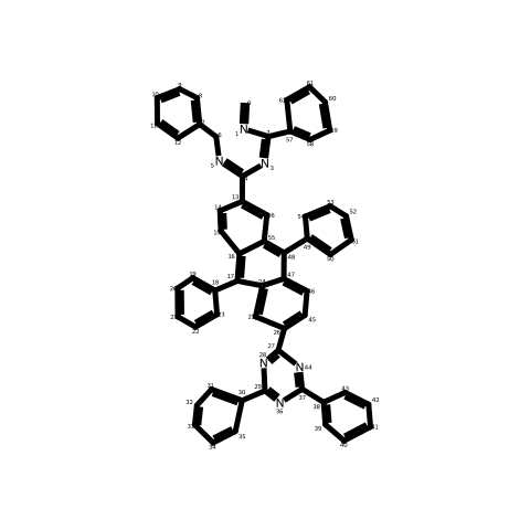 C=N/C(=N\C(=N/Cc1ccccc1)c1ccc2c(-c3ccccc3)c3cc(-c4nc(-c5ccccc5)nc(-c5ccccc5)n4)ccc3c(-c3ccccc3)c2c1)c1ccccc1